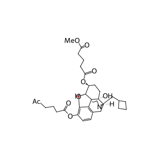 COC(=O)CCCC(=O)O[C@H]1CC[C@@]2(O)[C@H]3Cc4ccc(OC(=O)CCCC(C)=O)c5c4[C@@]2(CCN3CC2CCC2)[C@H]1O5